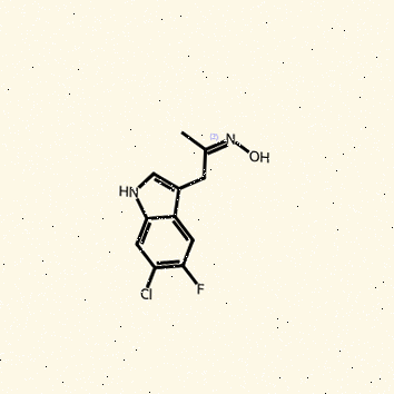 C/C(Cc1c[nH]c2cc(Cl)c(F)cc12)=N/O